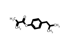 C=C(C)C(=O)Oc1ccc(CC(C)C)cc1